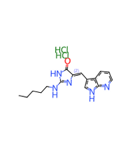 CCCCCNC1=N/C(=C\c2c[nH]c3ncccc23)C(=O)N1.Cl.Cl